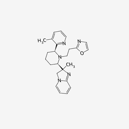 Cc1cccnc1[C@@H]1CCC[C@H](C2(C)CN3C=CC=CC3=N2)N1CCc1ncco1